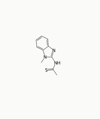 CC(=S)Nc1nc2ccccc2n1C